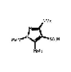 CNc1nn(NC)c(NC)c1S(=O)(=O)O